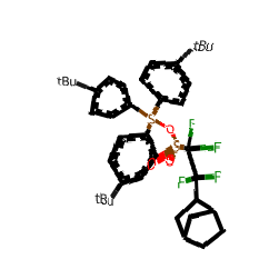 CC(C)(C)c1ccc(S(OS(=O)(=O)C(F)(F)C(F)(F)C2CC3CCC2C3)(c2ccc(C(C)(C)C)cc2)c2ccc(C(C)(C)C)cc2)cc1